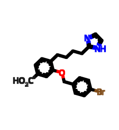 O=C(O)c1ccc(CCCCc2ncc[nH]2)c(OCc2ccc(Br)cc2)c1